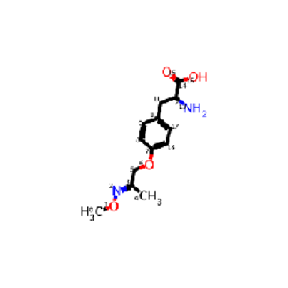 CO/N=C(\C)COc1ccc(CC(N)C(=O)O)cc1